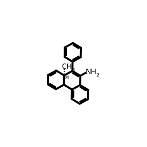 C[C@@]12C=CC=CC1c1ccccc1C(N)=C2c1ccccc1